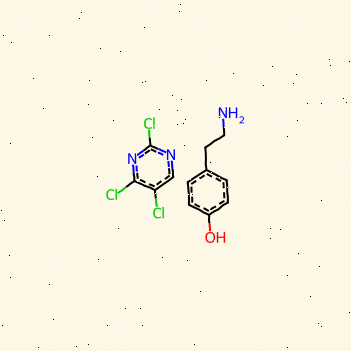 Clc1ncc(Cl)c(Cl)n1.NCCc1ccc(O)cc1